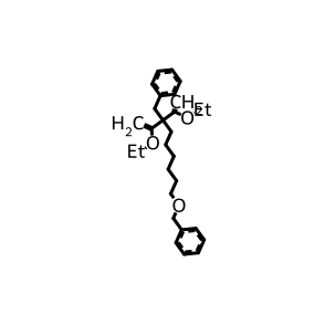 C=C(OCC)C(CCCCCCOCc1ccccc1)(Cc1ccccc1)C(=C)OCC